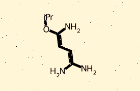 CC(C)O/C(N)=C/C=C(N)N